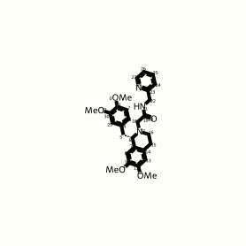 COc1ccc(C[C@H]2c3cc(OC)c(OC)cc3CCN2CC(=O)NCc2ccccn2)cc1OC